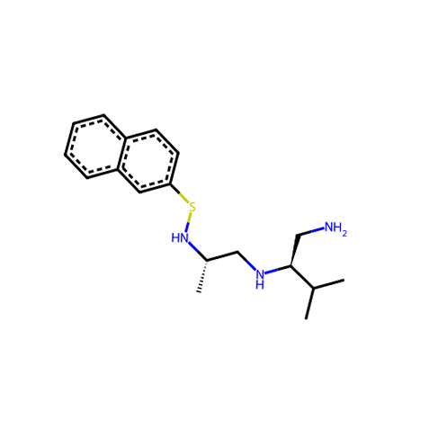 CC(C)[C@H](CN)NC[C@H](C)NSc1ccc2ccccc2c1